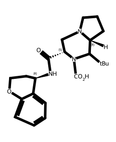 CC(C)(C)C1[C@H]2CCCN2C[C@@H](C(=O)N[C@@H]2CCOc3ccccc32)N1C(=O)O